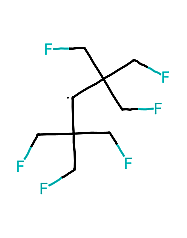 FCC([CH]C(CF)(CF)CF)(CF)CF